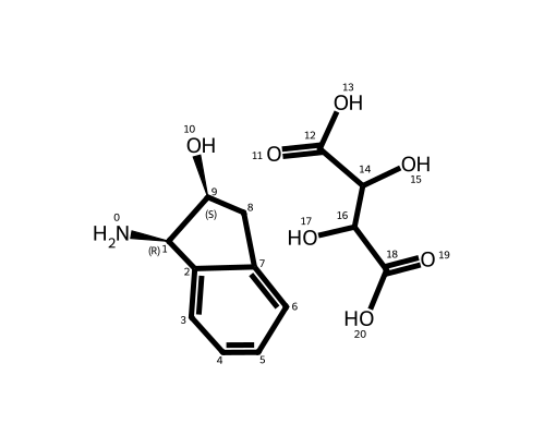 N[C@@H]1c2ccccc2C[C@@H]1O.O=C(O)C(O)C(O)C(=O)O